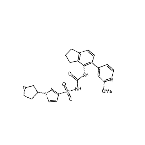 COc1cc(-c2ccc3c(c2NC(=O)NS(=O)(=O)c2ccn(C4CCOC4)n2)CCC3)ccn1